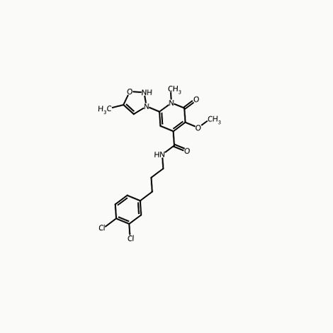 COc1c(C(=O)NCCCc2ccc(Cl)c(Cl)c2)cc(N2C=C(C)ON2)n(C)c1=O